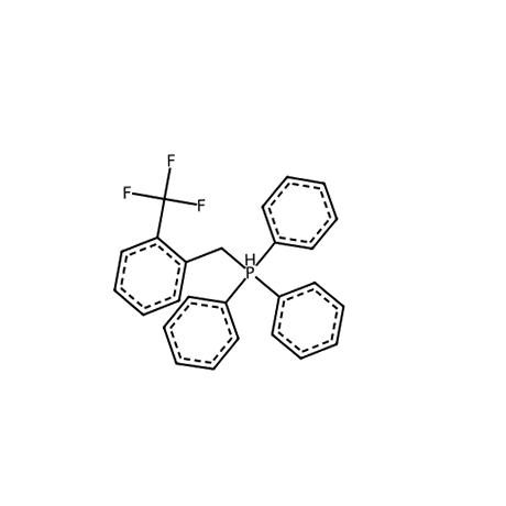 FC(F)(F)c1ccccc1C[PH](c1ccccc1)(c1ccccc1)c1ccccc1